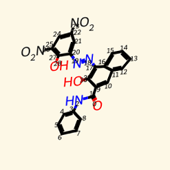 O=C(Nc1ccccc1)c1cc2ccccc2c(N=Nc2cc([N+](=O)[O-])cc([N+](=O)[O-])c2O)c1O